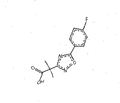 CC(C)(C(=O)O)c1noc(-c2ccc(F)cc2)n1